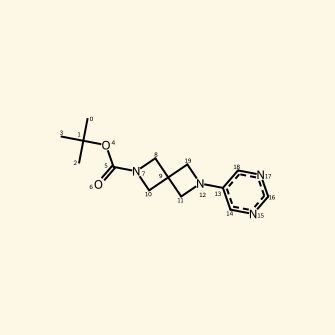 CC(C)(C)OC(=O)N1CC2(C1)CN(c1cncnc1)C2